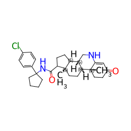 C[C@]12CCC(=O)C=C1NC[C@@H]1[C@H]2CC[C@]2(C)C(C(=O)NC3(c4ccc(Cl)cc4)CCCC3)CC[C@@H]12